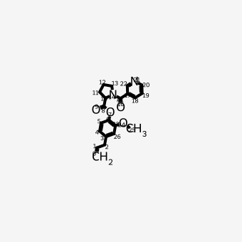 C=CCc1ccc(OC(=O)C2CCCN2C(=O)c2cccnc2)c(OC)c1